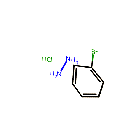 Brc1ccccc1.Cl.NN